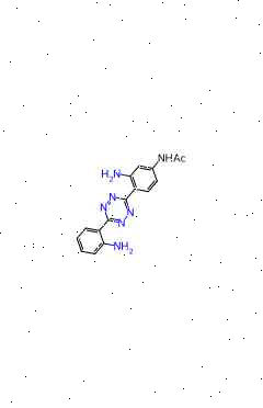 CC(=O)Nc1ccc(-c2nnc(-c3ccccc3N)nn2)c(N)c1